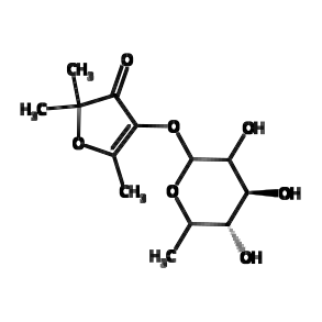 CC1=C(OC2OC(C)[C@@H](O)[C@H](O)C2O)C(=O)C(C)(C)O1